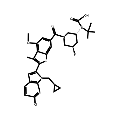 COc1cc(C(=O)N2C[C@H](F)C[C@@H](N(C(=O)O)C(C)(C)C)C2)cc2sc(-c3cc4ccc(Cl)nc4n3CC3CC3)c(C)c12